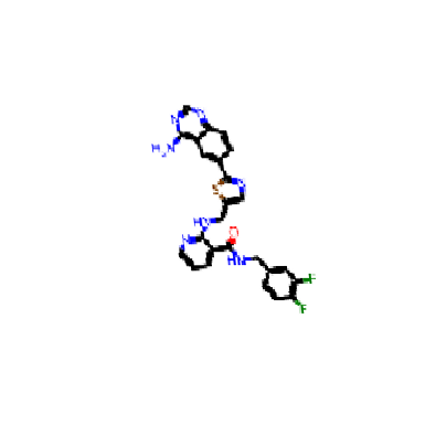 Nc1ncnc2ccc(-c3ncc(CNc4ncccc4C(=O)NCc4ccc(F)c(F)c4)s3)cc12